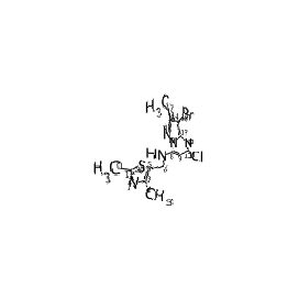 Cc1nc(C)c(CNc2cc(Cl)nc3c(Br)c(C)nn23)s1